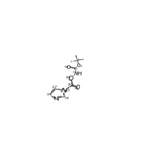 CC(C)(C)OC(=O)NOC(=O)n1ccnc1